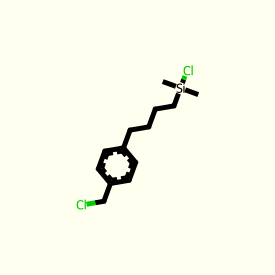 C[Si](C)(Cl)CCCCc1ccc(CCl)cc1